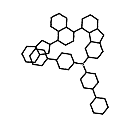 C1CCC(C2CCC(N(C3CCC(C4CCCCC4)CC3)C3CCC4CC5CCCC(C6CCC(C7CC8CCCCC8C7)C7CCCCC76)C5C4C3)CC2)CC1